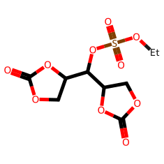 CCOS(=O)(=O)OC(C1COC(=O)O1)C1COC(=O)O1